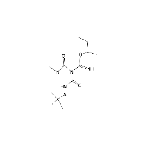 CCC(C)OC(=N)N(C(=O)NSC(C)(C)C)C(=O)N(C)C